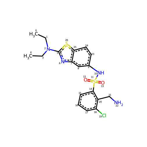 CCN(CC)c1nc2cc(NS(=O)(=O)c3cccc(Cl)c3CN)ccc2s1